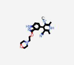 [C-]#[N+]C1=C(C)NC(C)=C(C#N)C1c1ccc2[nH]nc(OCCN3CCOCC3)c2c1